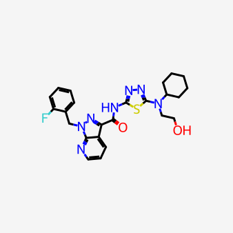 O=C(Nc1nnc(N(CCO)C2CCCCC2)s1)c1nn(Cc2ccccc2F)c2ncccc12